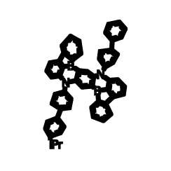 CC(C)c1ccc(-c2ccc(N3c4cc5c(cc4B4c6ccccc6-c6cccc3c64)N(c3ccc(-c4ccccc4)cc3)c3cccc4c3B5c3ccccc3-4)cc2)cc1